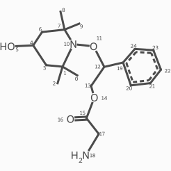 CC1(C)CC(O)CC(C)(C)N1OC(COC(=O)CN)c1ccccc1